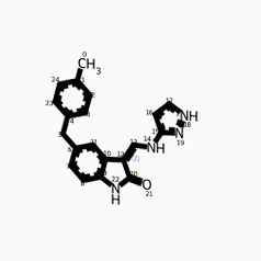 Cc1ccc(Cc2ccc3c(c2)/C(=C/Nc2cc[nH]n2)C(=O)N3)cc1